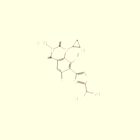 COc1c(-c2csc(C(C)N)n2)c(F)cc2c(=O)n(N)c(=O)n(C3CC3)c12